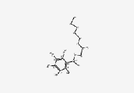 CCCCCCC(C)CCN(C)c1c(F)c(F)c(F)c(F)c1F